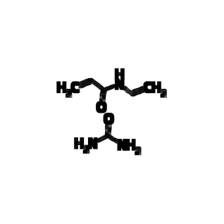 C=CNC(=O)C=C.NC(N)=O